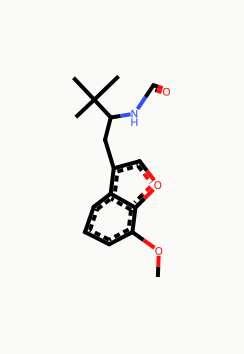 COc1cccc2c(CC(NC=O)C(C)(C)C)coc12